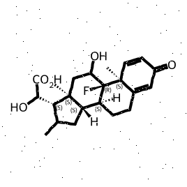 CC1C[C@H]2[C@@H]3CCC4=CC(=O)C=C[C@]4(C)[C@@]3(F)C(O)C[C@]2(C)[C@H]1C(O)C(=O)O